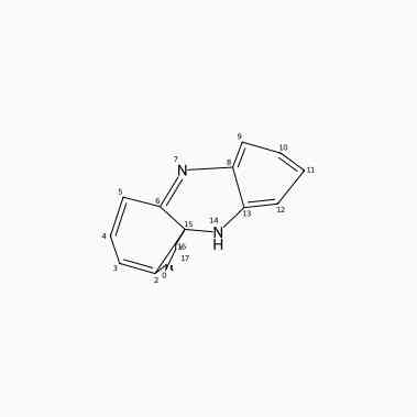 C1=CC2=CC=CC3=Nc4ccccc4NC23C=C1